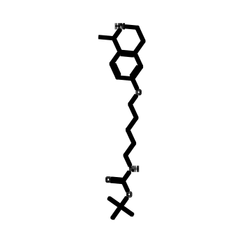 CC1NCCc2cc(OCCCCCNC(=O)OC(C)(C)C)ccc21